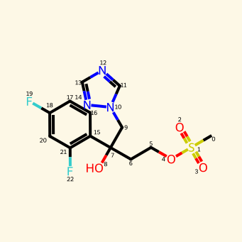 CS(=O)(=O)OCCC(O)(Cn1cncn1)c1ccc(F)cc1F